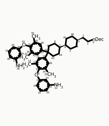 CCCCCCCCCCCC[C@H]1CC[C@@H](C2CCC(c3cc(C)c(Oc4cccc(N)c4)c(C)c3)(c3cc(C)c(Oc4cccc(N)c4)c(C)c3)CC2)CC1